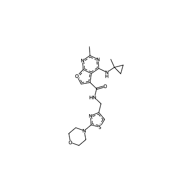 Cc1nc(NC2(C)CC2)c2c(C(=O)NCc3csc(N4CCOCC4)n3)coc2n1